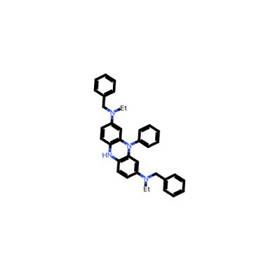 CCN(Cc1ccccc1)c1ccc2c(c1)N(c1ccccc1)c1cc(N(CC)Cc3ccccc3)ccc1N2